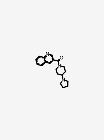 O=C(c1cnc2ccccc2c1)N1CCC(N2CCCC2)CC1